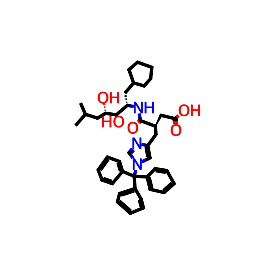 CC(C)C[C@H](O)[C@H](O)[C@H](CC1CCCCC1)NC(=O)[C@@H](CC(=O)O)Cc1cn(C(c2ccccc2)(c2ccccc2)c2ccccc2)cn1